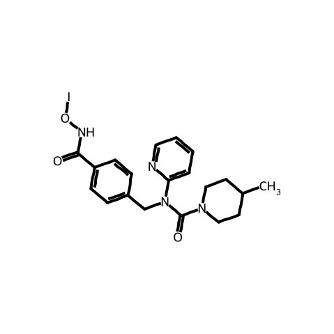 CC1CCN(C(=O)N(Cc2ccc(C(=O)NOI)cc2)c2ccccn2)CC1